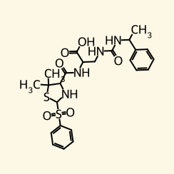 CC(NC(=O)NCC(NC(=O)C1NC(S(=O)(=O)c2ccccc2)SC1(C)C)C(=O)O)c1ccccc1